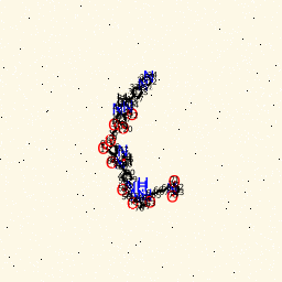 COc1cc2c(cc1OCCCOc1cc3c(cc1OC)C(=O)N1C=C(c4ccc(N5CCN(C)CC5)cc4)C[C@H]1C=N3)N=C[C@@H]1CC(c3ccc(NC(=O)[C@H](C)NC(=O)[C@@H](NC(=O)CCCCCN4C(=O)C=CC4=O)C(C)C)cc3)=CN1C2=O